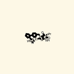 CCCn1c(=O)c2c(nc(CC)n2Cc2ccc(-c3ccccc3-c3nnn[nH]3)cc2)n(CCC)c1=O